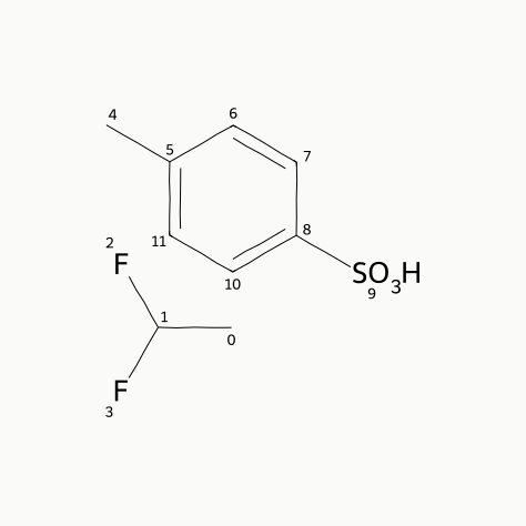 CC(F)F.Cc1ccc(S(=O)(=O)O)cc1